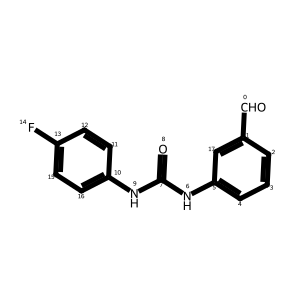 O=Cc1cccc(NC(=O)Nc2ccc(F)cc2)c1